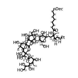 CCCCCCCCCCCCCCCCCC(=O)N[C@@](C)(CO[C@@H]1O[C@H](CO)[C@@H](O[C@@H]2OC(CO)[C@H](O)[C@@H]3O[C@]4(C[C@@H](O)[C@H](C)[C@H]([C@@H](O)[C@@](C)(CO)O[C@]5(C(=O)O)C[C@@H](O)[C@@H](C)C([C@H](O)[C@H](O)CO)O5)O4)C(=O)O[C@@H]23)[C@@H](O)C1O)[C@](C)(O)CNCC